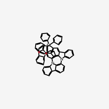 c1ccc(-n2c3ccccc3c3cccc(-n4c5ccccc5c5cc([Si](c6ccccc6)(c6ccccc6)c6ccccc6)c(-n6c7ccccc7c7ccccc76)cc54)c32)cc1